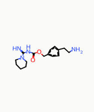 N=C(NC(=O)OCc1ccc(CCN)cc1)N1CCCCC1